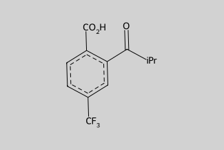 CC(C)C(=O)c1cc(C(F)(F)F)ccc1C(=O)O